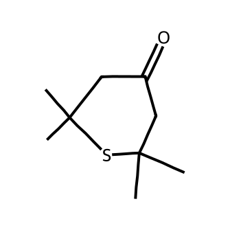 CC1(C)CC(=O)CC(C)(C)S1